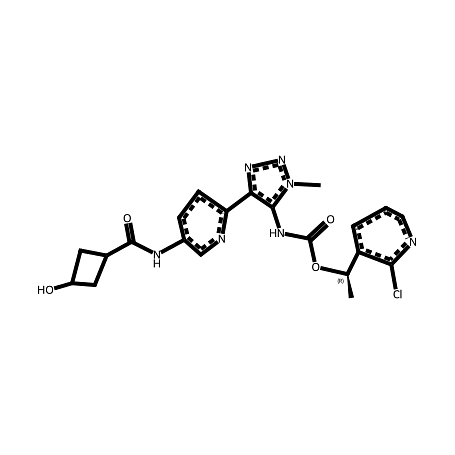 C[C@@H](OC(=O)Nc1c(-c2ccc(NC(=O)C3CC(O)C3)cn2)nnn1C)c1cccnc1Cl